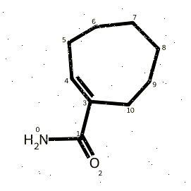 NC(=O)C1=CCCCCCC1